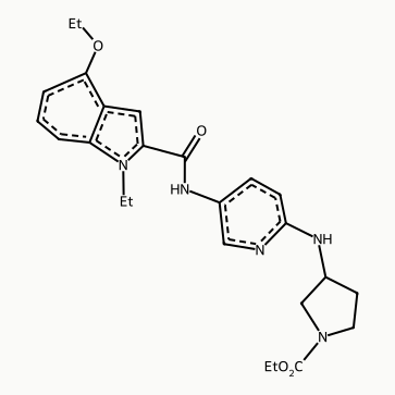 CCOC(=O)N1CCC(Nc2ccc(NC(=O)c3cc4c(OCC)cccc4n3CC)cn2)C1